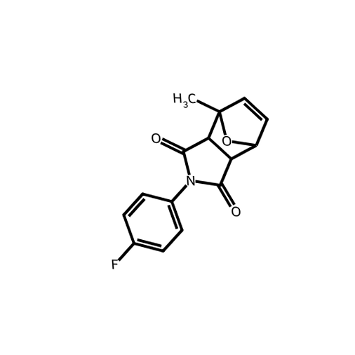 CC12C=CC(O1)C1C(=O)N(c3ccc(F)cc3)C(=O)C12